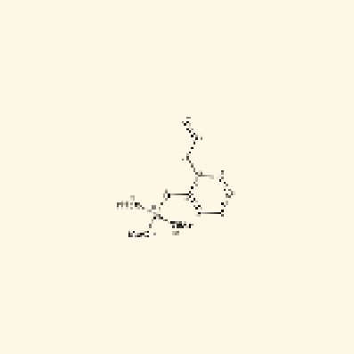 C=CCc1ccccc1O[Si](CCCCCC)(OC)OC